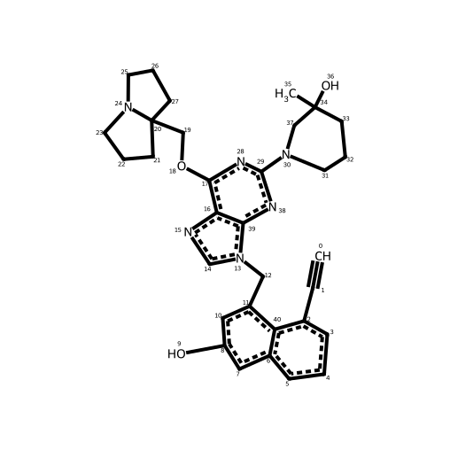 C#Cc1cccc2cc(O)cc(Cn3cnc4c(OCC56CCCN5CCC6)nc(N5CCCC(C)(O)C5)nc43)c12